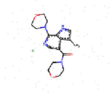 Cc1c[nH]c2c(N3CCOCC3)ncc(C(=O)N3CCOCC3)c12.Cl